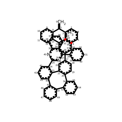 C=C(c1ccccc1)c1ccccc1-c1cc(-c2ccc3c(c2)-c2c(-c4nc(-c5ccccc5)c5ccccc5n4)cccc2-c2ccccc2-c2ccccc2-3)ccc1C